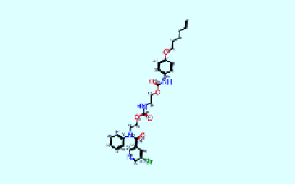 CCCCCCOc1ccc(NC(=O)OCCNC(=O)OCCN(C(=O)c2cncc(Br)c2)c2ccccc2)cc1